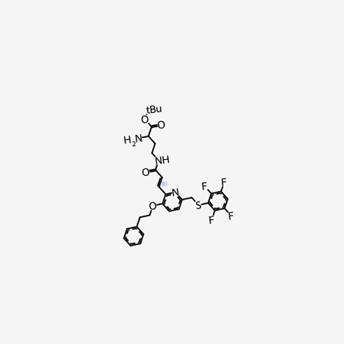 CC(C)(C)OC(=O)C(N)CCNC(=O)/C=C/c1nc(CSc2c(F)c(F)cc(F)c2F)ccc1OCCc1ccccc1